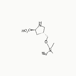 CC(C)(C)[Si](C)(C)OC[C@H]1CN[C@H](C(=O)O)C1